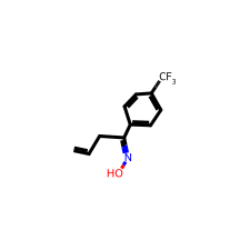 C=CCC(=NO)c1ccc(C(F)(F)F)cc1